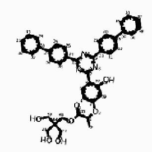 CC(Oc1ccc(-c2nc(-c3ccc(-c4cc#ccc4)cc3)nc(-c3ccc(-c4ccccc4)cc3)n2)c(O)c1)C(=O)OCC(CO)(CO)CO